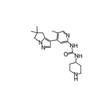 Cc1cnc(NC(=O)NC2CCNCC2)cc1-c1cnn2c1CC(C)(C)C2